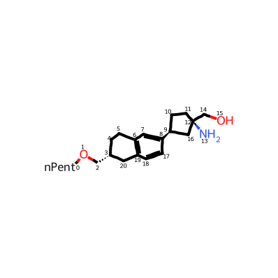 CCCCCOC[C@@H]1CCc2cc([C@H]3CC[C@](N)(CO)C3)ccc2C1